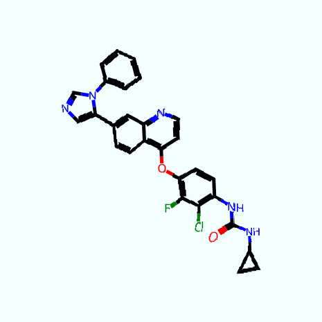 O=C(Nc1ccc(Oc2ccnc3cc(-c4cncn4-c4ccccc4)ccc23)c(F)c1Cl)NC1CC1